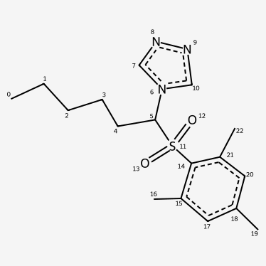 CCCCCC(n1cnnc1)S(=O)(=O)c1c(C)cc(C)cc1C